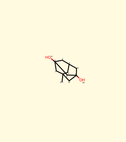 [CH2]C12CC3CC(O)(C1)CC(O)(C3)C2